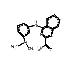 CN(C)c1cccc(Nc2nc(C(N)=O)nc3cc[c]cc23)c1